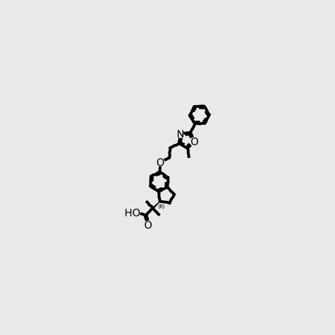 Cc1oc(-c2ccccc2)nc1CCOc1ccc2c(c1)CC[C@H]2C(C)(C)C(=O)O